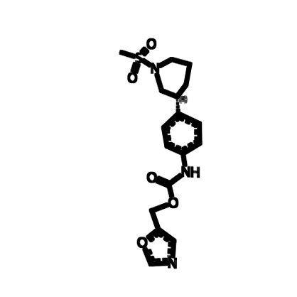 CS(=O)(=O)N1CCC[C@H](c2ccc(NC(=O)OCc3cnco3)cc2)C1